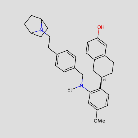 CCN(Cc1ccc(CCN2C3CCC2CC3)cc1)c1cc(OC)ccc1[C@@H]1CCc2cc(O)ccc2C1